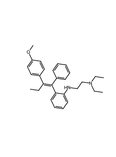 CCC(=C(c1ccccc1)c1ccccc1NCCN(CC)CC)c1ccc(OC)cc1